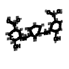 O=[N+]([O-])c1ccc(O)c(Nc2ccnc(Nc3cc([N+](=O)[O-])ccc3O)n2)c1